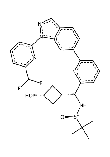 CC(C)(C)[S@@+]([O-])NC(c1cccc(-c2ccc3cnn(-c4cccc(C(F)F)n4)c3c2)n1)[C@H]1C[C@@H](O)C1